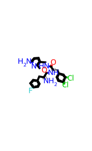 Cc1nc(N)ccc1CNC(=O)[C@H](Cc1ccc(Cl)c(Cl)c1)NC(=O)[C@H](N)Cc1ccc(F)cc1